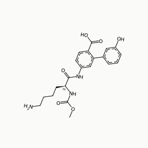 COC(=O)N[C@@H](CCCCN)C(=O)Nc1ccc(C(=O)O)c(-c2cccc(O)c2)c1